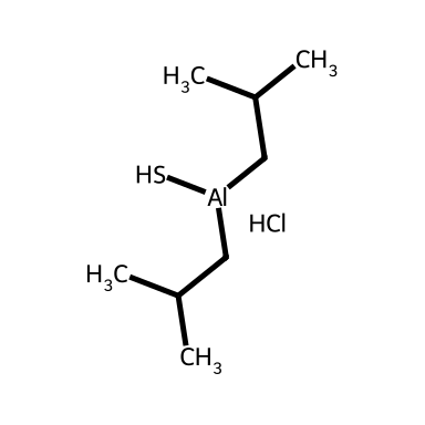 CC(C)[CH2][Al]([SH])[CH2]C(C)C.Cl